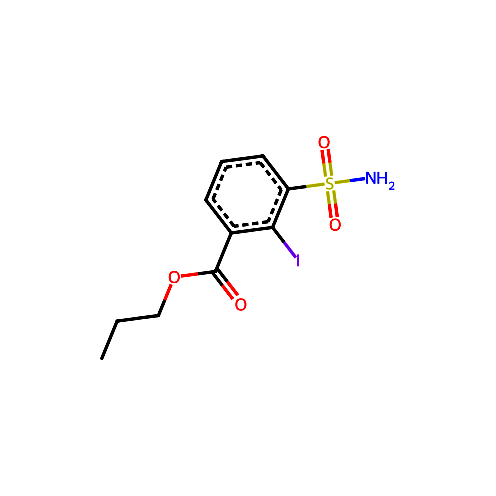 CCCOC(=O)c1cccc(S(N)(=O)=O)c1I